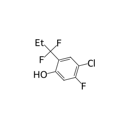 CCC(F)(F)c1cc(Cl)c(F)cc1O